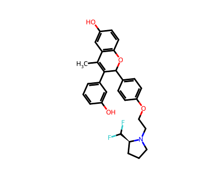 CC1=C(c2cccc(O)c2)C(c2ccc(OCCN3CCC[C@H]3C(F)F)cc2)Oc2ccc(O)cc21